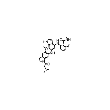 CNC(=O)c1c(F)cccc1Nc1cc(Nc2cc3c(cc2OC)CCN3C(=O)CN(C)C)nc2[nH]ccc12